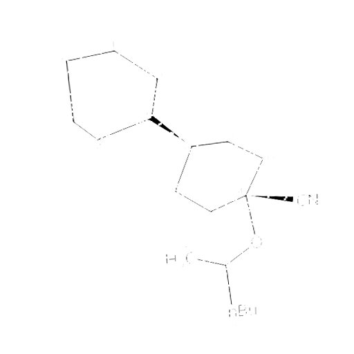 CCCCC(C)O[C@]1(C#N)CC[C@@H](C2CCCCC2)CC1